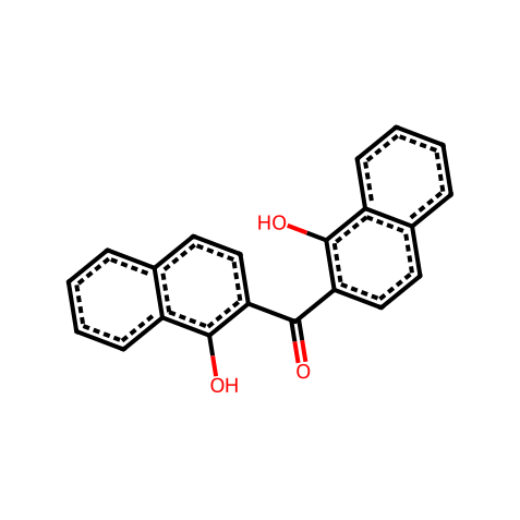 O=C(c1ccc2ccccc2c1O)c1ccc2ccccc2c1O